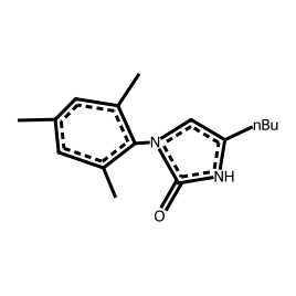 CCCCc1cn(-c2c(C)cc(C)cc2C)c(=O)[nH]1